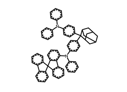 c1ccc(N(c2ccccc2)c2ccc(C3(c4ccc(N(c5ccccc5)c5cccc6c5-c5ccccc5C65c6ccccc6-c6ccccc65)cc4)C4CC5CC(C4)CC3C5)cc2)cc1